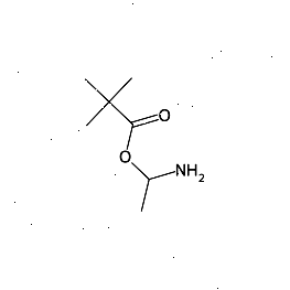 CC(N)OC(=O)C(C)(C)C